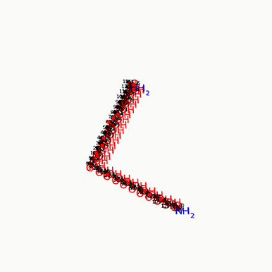 C=CC(=O)O.C=CC(=O)O.C=CC(=O)O.C=CC(=O)O.C=CC(=O)O.C=CC(=O)O.C=CC(=O)O.C=CC(=O)O.C=CC(=O)O.C=CC(=O)O.C=CC(=O)O.C=CC(=O)O.C=CC(=O)O.C=CC(=O)O.C=CC(=O)O.C=CC(=O)O.C=CC(=O)O.C=CC(=O)O.C=CC(=O)O.C=CC(=O)O.C=CC(=O)O.C=CC(=O)O.C=CC(=O)O.C=CC(=O)O.C=CC(=O)O.CCOC(N)=O.CCOC(N)=O